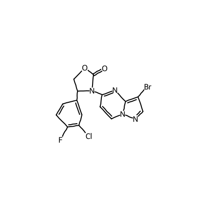 O=C1OCC(c2ccc(F)c(Cl)c2)N1c1ccn2ncc(Br)c2n1